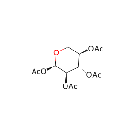 CC(=O)O[C@H]1OC[C@@H](OC(C)=O)[C@H](OC(C)=O)[C@H]1OC(C)=O